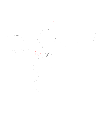 COC1=C(CC=C(C)C)C(=O)[C@@H]2[C@](C)(CCC=C(C)C)[C@@H](O)C[C@@]1(CC=C(C)C)[C@@]2(O)OC